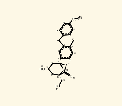 CCOc1ccc(Cc2cc([C@@]34C[C@@H](O)C[C@@](CO)(O3)C(=O)O4)ccc2C)cc1